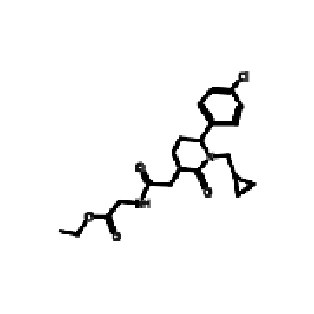 CCOC(=O)CNC(=O)CC1CCC(c2ccc(Cl)cc2)N(CC2CC2)C1=O